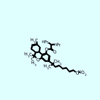 CCCC(CCC)C(=O)Oc1cc(C(C)(C)CCCCCCO[N+](=O)[O-])cc2c1C1CC(C)=CCC1C(C)(C)O2